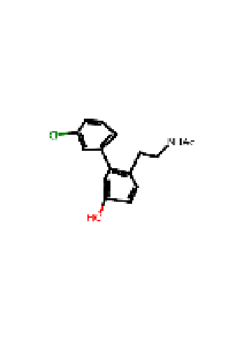 CC(=O)NCCc1ccc(O)cc1-c1cccc(Cl)c1